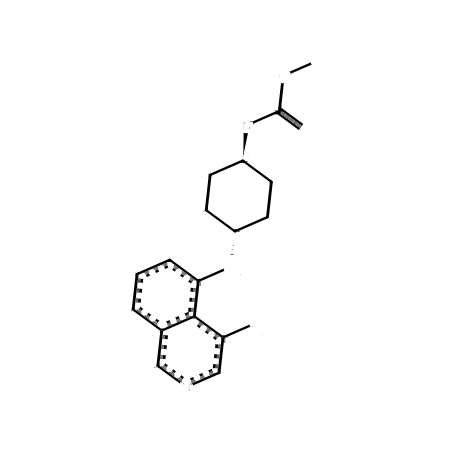 CC(C)(C)OC(=O)N[C@H]1CC[C@H](Oc2cccc3cncc(Br)c23)CC1